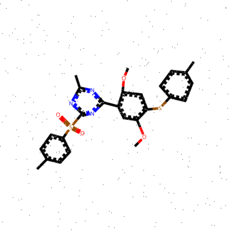 COc1cc(-c2nc(C)nc(S(=O)(=O)c3ccc(C)cc3)n2)c(OC)cc1Sc1ccc(C)cc1